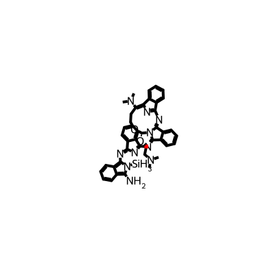 CN(C)CCO[C@@H]1OCC/C(N(C)C)=C2N=C(/N=C3/c4ccccc4/C(=N/C4=NC(=N\c5c6ccccc6c(N)n5[SiH3])/c5ccccc54)N31)c1ccccc1\2